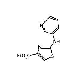 CCOC(=O)c1csc(Nc2cccnc2)n1